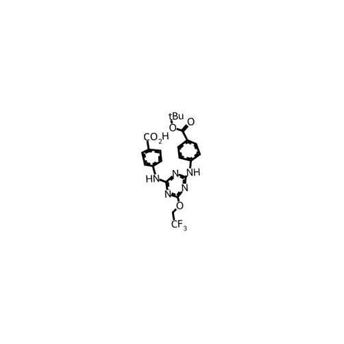 CC(C)(C)OC(=O)c1ccc(Nc2nc(Nc3ccc(C(=O)O)cc3)nc(OCC(F)(F)F)n2)cc1